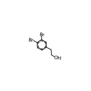 OCCc1ccc(Br)c(Br)c1